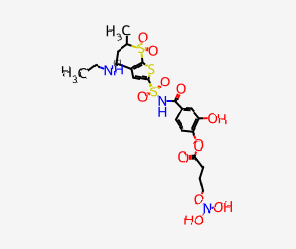 CCN[C@H]1CC(C)S(=O)(=O)c2sc(S(=O)(=O)NC(=O)c3ccc(OC(=O)CCCON(O)O)c(O)c3)cc21